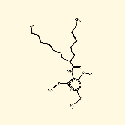 CCCCCCCCC(CCCCCC)C(=S)Nc1c(SC)nc(SC)nc1SC